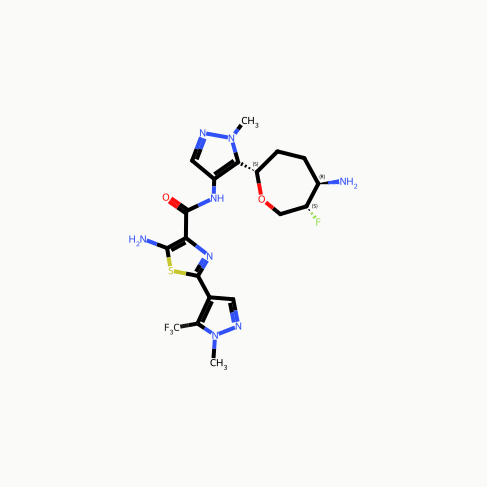 Cn1ncc(NC(=O)c2nc(-c3cnn(C)c3C(F)(F)F)sc2N)c1[C@@H]1CC[C@@H](N)[C@H](F)CO1